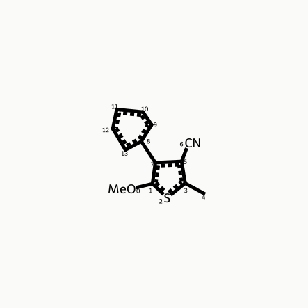 COc1sc(C)c(C#N)c1-c1ccccc1